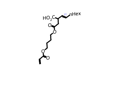 C=CC(=O)OCCCCOC(=O)CC(/C=C/CCCCCC)C(=O)O